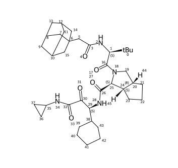 CC(C)(C)[C@H](NC(=O)CC12CC3CC(CC(C3)C1)C2)C(=O)N1C[C@@H]2CCC[C@@H]2[C@H]1C(=O)N[C@H](C(=O)C(=O)NC1CC1)C1CCCCC1